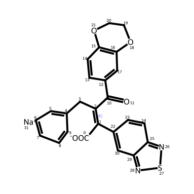 O=C([O-])/C(=C(\Cc1ccccc1)C(=O)c1ccc2c(c1)OCCO2)c1ccc2nsnc2c1.[Na+]